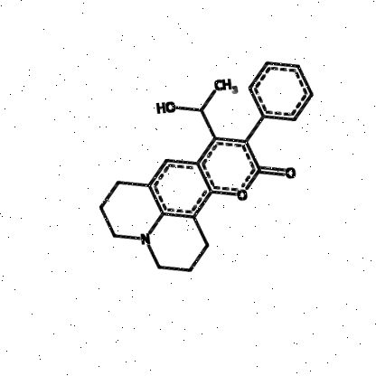 CC(O)c1c(-c2ccccc2)c(=O)oc2c3c4c(cc12)CCCN4CCC3